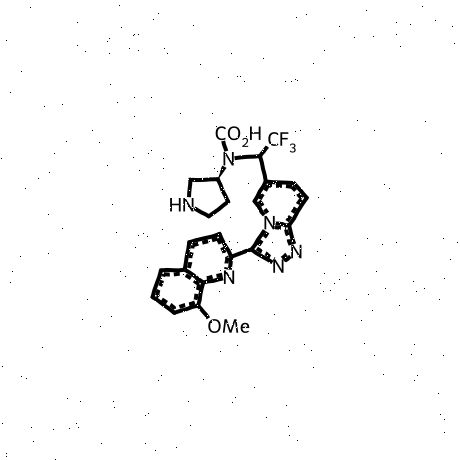 COc1cccc2ccc(-c3nnc4ccc(C(N(C(=O)O)[C@H]5CCNC5)C(F)(F)F)cn34)nc12